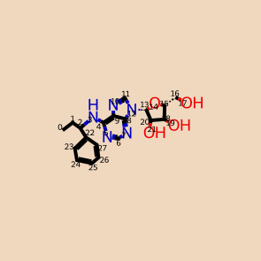 CCC(Nc1ncnc2c1ncn2[C@@H]1O[C@H](CO)C(O)C1O)c1ccccc1